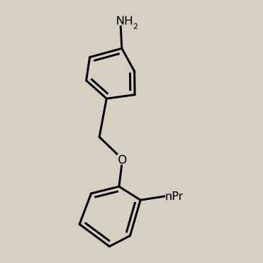 CCCc1ccccc1OCc1ccc(N)cc1